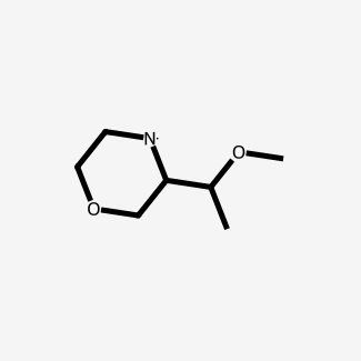 COC(C)C1COCC[N]1